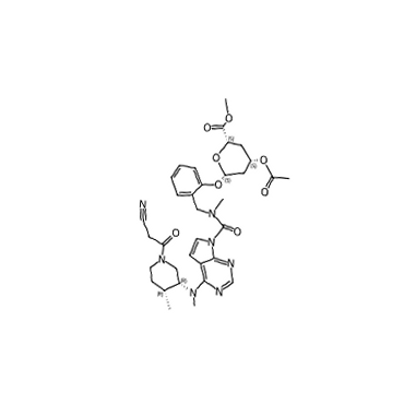 COC(=O)[C@@H]1C[C@H](OC(C)=O)C[C@H](Oc2ccccc2CN(C)C(=O)n2ccc3c(N(C)[C@H]4CN(C(=O)CC#N)CC[C@H]4C)ncnc32)O1